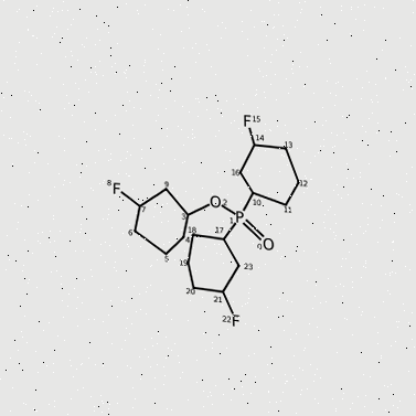 O=P(OC1CCCC(F)C1)(C1CCCC(F)C1)C1CCCC(F)C1